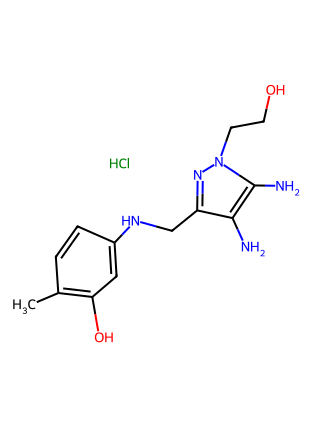 Cc1ccc(NCc2nn(CCO)c(N)c2N)cc1O.Cl